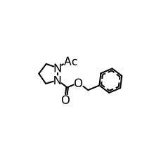 CC(=O)N1CCCN1C(=O)OCc1ccccc1